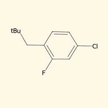 CC(C)(C)Cc1ccc(Cl)cc1F